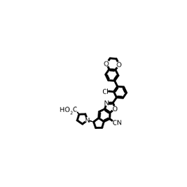 N#Cc1c2c(cc3nc(-c4cccc(-c5ccc6c(c5)OCCO6)c4Cl)oc13)[C@H](N1CC[C@@H](C(=O)O)C1)CC2